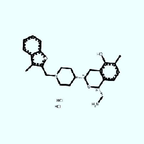 Cc1ccc2c(c1O)C[C@@H](C1CCN(Cc3sc4ccccc4c3C)CC1)O[C@H]2CN.Cl.Cl